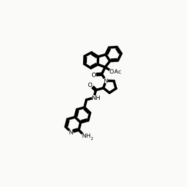 CC(=O)OC1(C(=O)N2CCCC2C(=O)NCc2ccc3c(N)nccc3c2)c2ccccc2-c2ccccc21